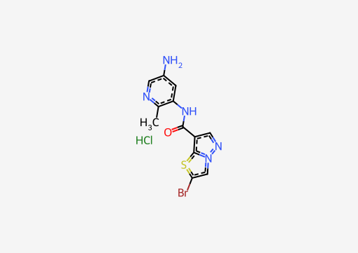 Cc1ncc(N)cc1NC(=O)c1cnn2cc(Br)sc12.Cl